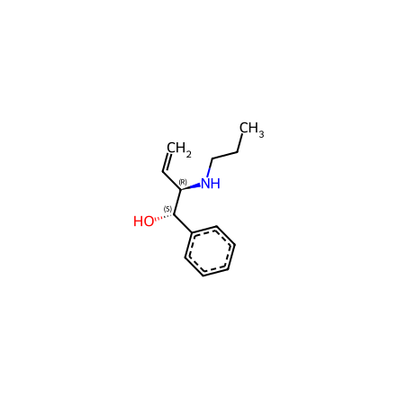 C=C[C@@H](NCCC)[C@@H](O)c1ccccc1